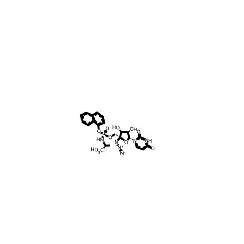 C[C@H](NP(=O)(OC[C@@]1(N=[N+]=[N-])O[C@@H](n2ccc(=O)[nH]c2=O)[C@H](O)[C@@H]1O)Oc1cccc2ccccc12)C(=O)O